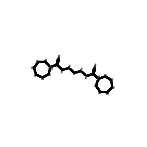 S=C(SSCSSC(=S)N1CCCCCC1)N1CCCCCC1